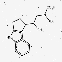 CC(CN(C(=O)O)C(C)(C)C)C1CCc2[nH]c3ccccc3c21